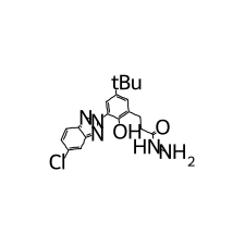 CC(C)(C)c1cc(CCC(=O)NN)c(O)c(-n2nc3ccc(Cl)cc3n2)c1